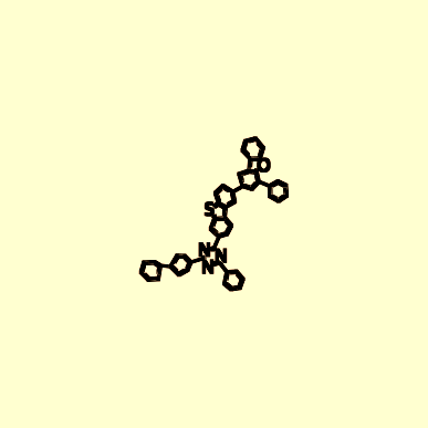 c1ccc(-c2ccc(-c3nc(-c4ccccc4)nc(-c4ccc5c(c4)sc4ccc(-c6cc(-c7ccccc7)c7oc8ccccc8c7c6)cc45)n3)cc2)cc1